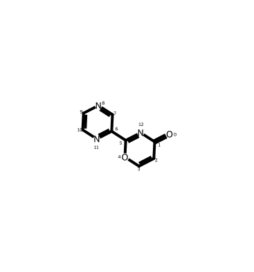 O=c1ccoc(-c2cnccn2)n1